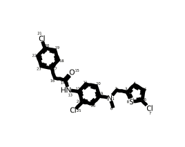 CN(Cc1ccc(Cl)s1)c1ccc(NC(=O)Cc2ccc(Cl)cc2)c(Cl)c1